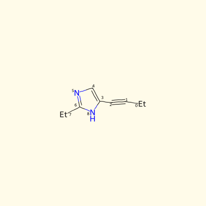 CCC#Cc1cnc(CC)[nH]1